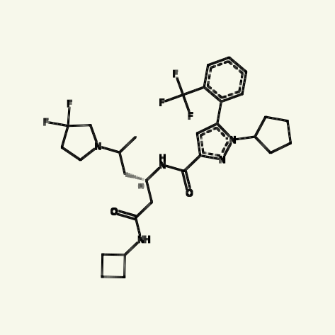 CC(C[C@@H](CC(=O)NC1CCC1)NC(=O)c1cc(-c2ccccc2C(F)(F)F)n(C2CCCC2)n1)N1CCC(F)(F)C1